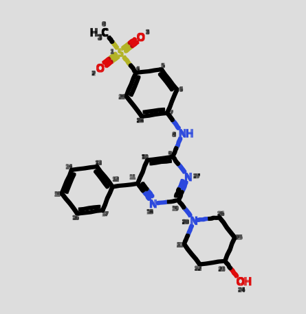 CS(=O)(=O)c1ccc(Nc2cc(-c3ccccc3)nc(N3CCC(O)CC3)n2)cc1